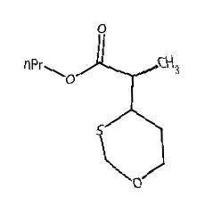 CCCOC(=O)C(C)C1CCOCS1